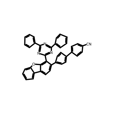 N#Cc1ccc(-c2ccc(-c3ccc4c(oc5ccccc54)c3-c3nc(-c4ccccc4)nc(-c4ccccc4)n3)cc2)cc1